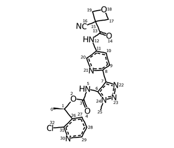 C[C@@H](OC(=O)Nc1c(-c2ccc(NC(=O)C3(C#N)COC3)cn2)nnn1C)c1cccnc1Cl